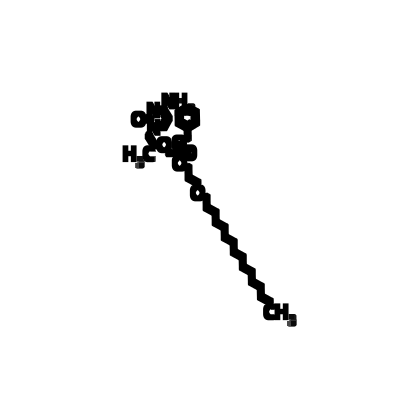 CCCCCCCCCCCCCCCCOCCCOP(=O)(COC(C)Cn1ccc(N)nc1=O)OCc1ccccc1